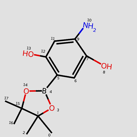 CC1(C)OB(c2cc(O)c(N)cc2O)OC1(C)C